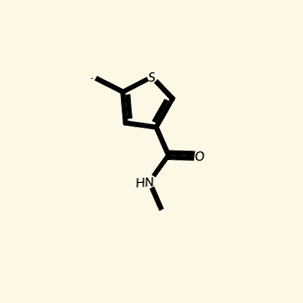 [CH2]c1cc(C(=O)NC)cs1